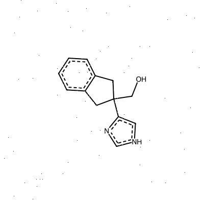 OCC1(c2c[nH]cn2)Cc2ccccc2C1